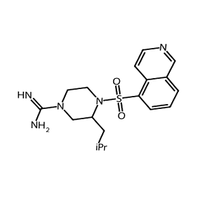 CC(C)CC1CN(C(=N)N)CCN1S(=O)(=O)c1cccc2cnccc12